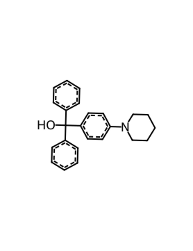 OC(c1ccccc1)(c1ccccc1)c1ccc(N2CCCCC2)cc1